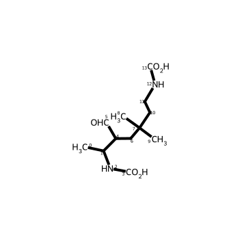 CC(NC(=O)O)C(C=O)CC(C)(C)CCNC(=O)O